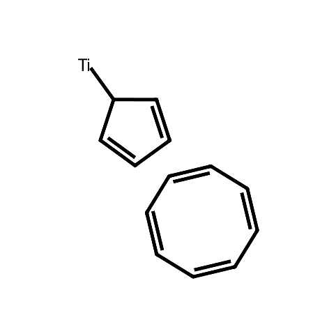 C1=CC=CC=CC=C1.[Ti][CH]1C=CC=C1